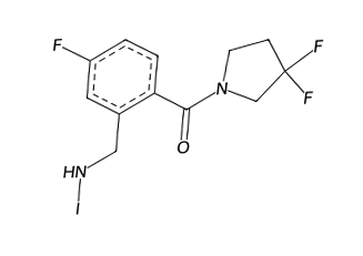 O=C(c1ccc(F)cc1CNI)N1CCC(F)(F)C1